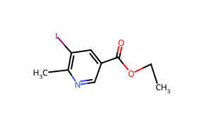 CCOC(=O)c1cnc(C)c(I)c1